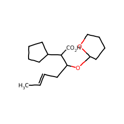 CC=CCC(OC1CCCCO1)C(C(=O)O)C1CCCC1